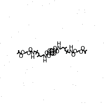 C=C(C)C(=O)OCCOC(=O)NCC(C)(C)CC(C)CCNC(=O)O[C@H]1CO[C@H]2[C@@H]1OC[C@H]2OC(=O)NCCC(C)CC(C)(C)CNC(=O)OCCOC(=O)C(=C)C